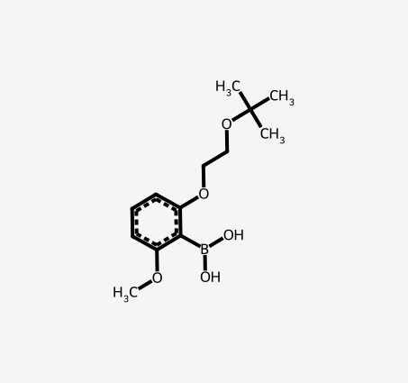 COc1cccc(OCCOC(C)(C)C)c1B(O)O